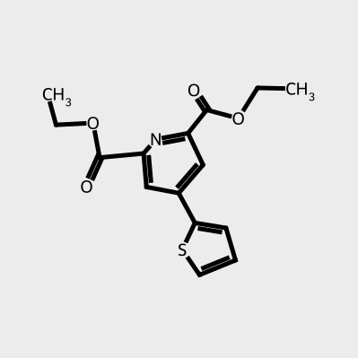 CCOC(=O)c1cc(-c2cccs2)cc(C(=O)OCC)n1